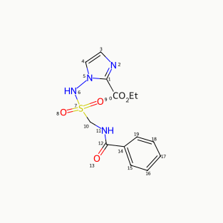 CCOC(=O)c1nccn1NS(=O)(=O)CNC(=O)c1ccccc1